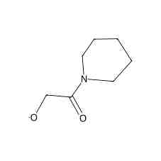 [O]CC(=O)N1CCCCC1